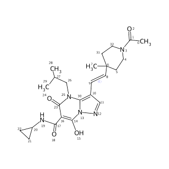 CC(=O)N1CCC(C)(/C=C/c2cnn3c(O)c(C(=O)NC4CC4)c(=O)n(CC(C)C)c23)CC1